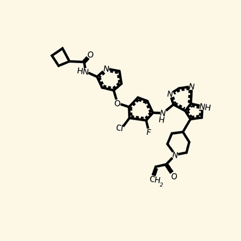 C=CC(=O)N1CCC(c2c[nH]c3ncnc(Nc4ccc(Oc5ccnc(NC(=O)C6CCC6)c5)c(Cl)c4F)c23)CC1